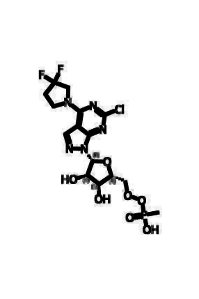 CP(=O)(O)OOC[C@H]1O[C@@H](n2ncc3c(N4CCC(F)(F)C4)nc(Cl)nc32)[C@H](O)[C@@H]1O